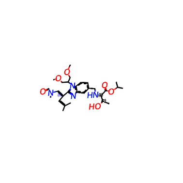 COCC(COC)n1c(/C(C=C(C)C)=C/N(C)C=O)nc2cc(CN[C@H](C(=O)OC(C)C)[C@@H](C)O)ccc21